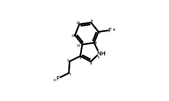 FCCc1c[nH]c2c(F)cccc12